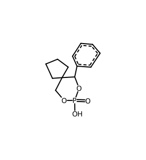 O=P1(O)OCC2(CCCC2)C(c2ccccc2)O1